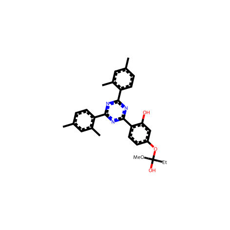 CCC(O)(OC)Oc1ccc(-c2nc(-c3ccc(C)cc3C)nc(-c3ccc(C)cc3C)n2)c(O)c1